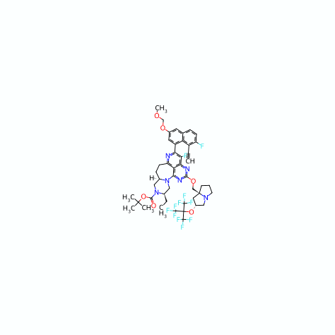 C#Cc1c(F)ccc2cc(OCOC)cc(-c3nc4c5c(nc(OC[C@@]67CCCN6C[C@H](OC(C(F)(F)F)(C(F)(F)F)C(F)(F)F)C7)nc5c3F)N3C[C@@H](CC)N(C(=O)OC(C)(C)C)C[C@H]3CC4)c12